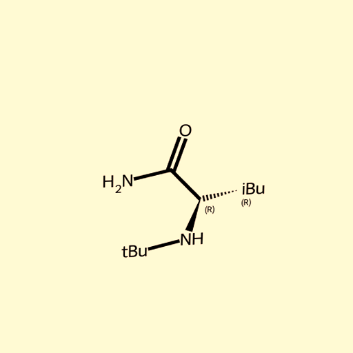 CC[C@@H](C)[C@@H](NC(C)(C)C)C(N)=O